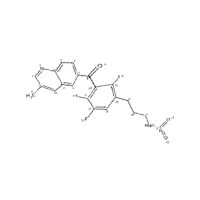 Cc1cnc2ccc(C(=O)c3c(F)c(F)cc(CCCN[SH](=O)=O)c3F)cc2c1